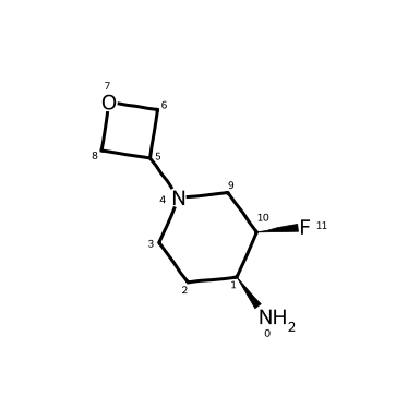 N[C@H]1CCN(C2COC2)C[C@H]1F